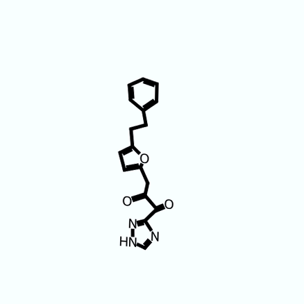 O=C(Cc1ccc(CCc2ccccc2)o1)C(=O)c1nc[nH]n1